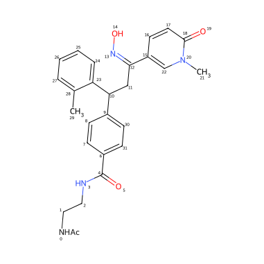 CC(=O)NCCNC(=O)c1ccc(C(C/C(=N/O)c2ccc(=O)n(C)c2)c2ccccc2C)cc1